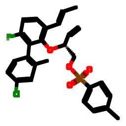 C=C[C@H](COS(=O)(=O)c1ccc(C)cc1)Oc1c(C=CC)ccc(F)c1-c1ccc(Cl)cc1C